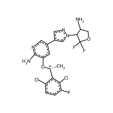 C[C@@H](Oc1cc(-c2cnn(C3C(N)COC3(F)F)c2)cnc1N)c1c(Cl)ccc(F)c1Cl